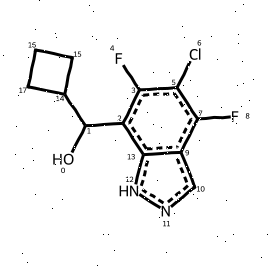 OC(c1c(F)c(Cl)c(F)c2cn[nH]c12)C1CCC1